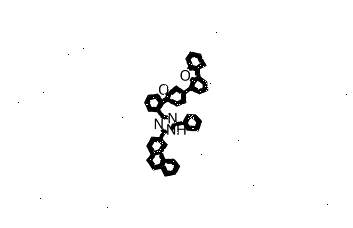 c1ccc(C2=NC(c3cccc4oc5cc(-c6cccc7c6oc6ccccc67)ccc5c34)=NC(c3ccc4ccc5ccccc5c4c3)N2)cc1